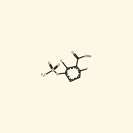 COC(=O)c1c(F)ccc(OS(=O)(=O)C(F)(F)F)c1F